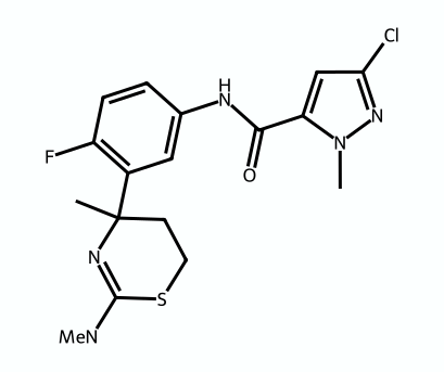 CNC1=NC(C)(c2cc(NC(=O)c3cc(Cl)nn3C)ccc2F)CCS1